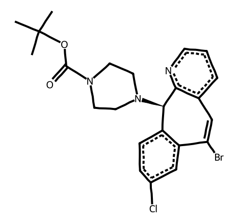 CC(C)(C)OC(=O)N1CCN([C@@H]2c3ccc(Cl)cc3C(Br)=Cc3cccnc32)CC1